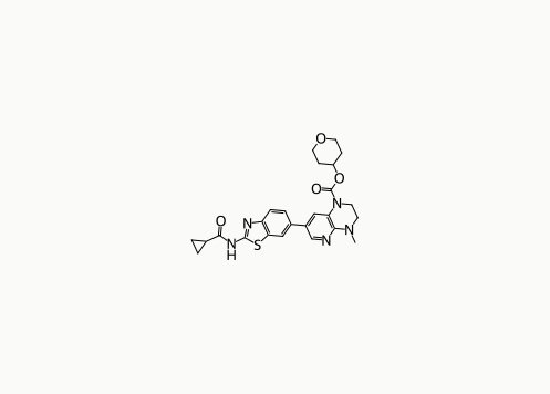 CN1CCN(C(=O)OC2CCOCC2)c2cc(-c3ccc4nc(NC(=O)C5CC5)sc4c3)cnc21